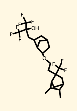 CC1C2CC(C1C)C(CCOC1CC3CC(CC(O)(C(F)(F)F)C(F)(F)F)C1C3)(C(F)(F)F)C2